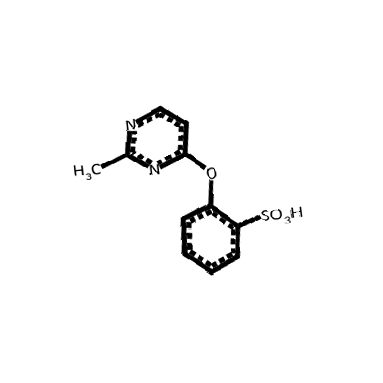 Cc1nccc(Oc2ccccc2S(=O)(=O)O)n1